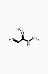 Cl.N=CC(=O)NN